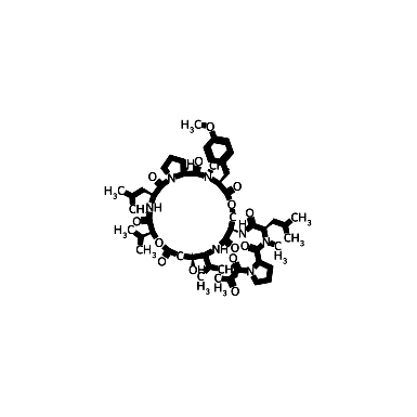 COc1ccc(C[C@H]2C(=O)OC[C@H](NC(=O)[C@@H](CC(C)C)N(C)C(=O)C3CCCN3C(=O)C(C)=O)C(=O)NC(C(C)C)[C@@H](O)CC(=O)O[C@@H](C(C)C)C(=O)N[C@@H](CC(C)C)C(=O)N3CCC[C@H]3C(=O)N2C)cc1